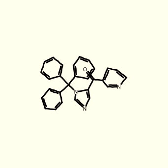 O=C(c1cccnc1)c1cncn1C(c1ccccc1)(c1ccccc1)c1ccccc1